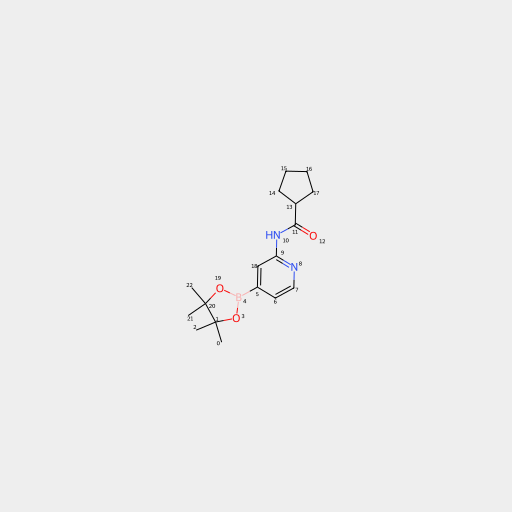 CC1(C)OB(c2ccnc(NC(=O)C3CCCC3)c2)OC1(C)C